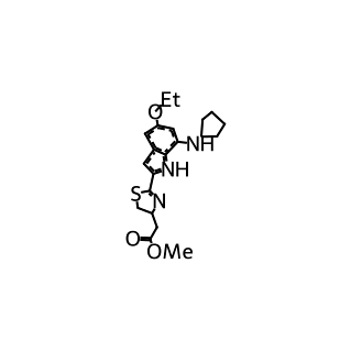 CCOc1cc(NC2CCCC2)c2[nH]c(C3=NC(CC(=O)OC)CS3)cc2c1